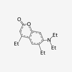 CCc1cc2c(CC)cc(=O)oc2cc1N(CC)CC